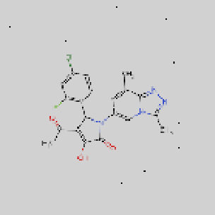 CC(=O)C1=C(O)C(=O)N(c2cc(C)c3nnc(C)n3c2)C1c1ccc(Cl)cc1F